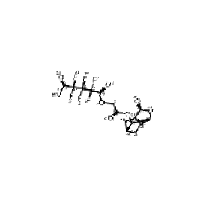 O=C(COC(=O)C(F)(F)C(F)(F)C(F)(F)C(=O)O)OC1C2CC3C(=O)OC1C3C2